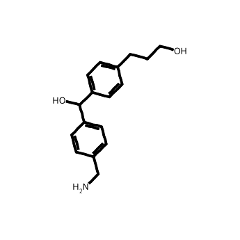 NCc1ccc(C(O)c2ccc(CCCO)cc2)cc1